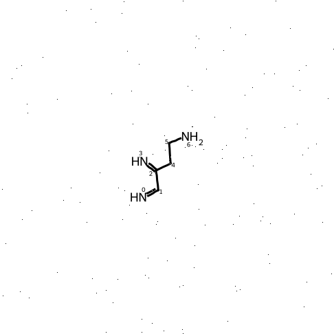 N=CC(=N)CCN